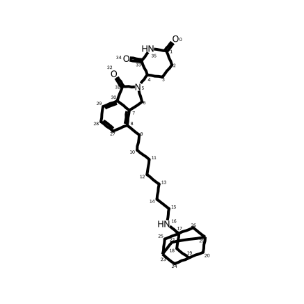 O=C1CCC(N2Cc3c(CCCCCCCNC45CC6CC(CC(C6)C4)C5)cccc3C2=O)C(=O)N1